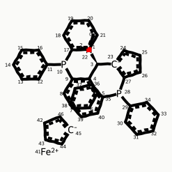 CN(C)[C@H](c1ccccc1P(c1ccccc1)c1ccccc1)[c-]1cccc1P(c1ccccc1)c1ccccc1.[Fe+2].c1cc[cH-]c1